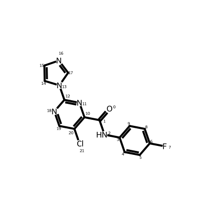 O=C(Nc1ccc(F)cc1)c1nc(-n2ccnc2)ncc1Cl